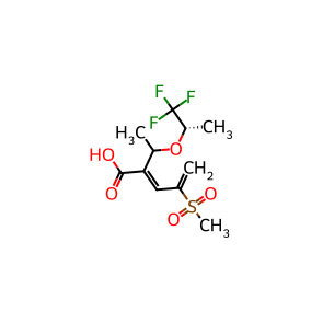 C=C(/C=C(/C(=O)O)C(C)O[C@@H](C)C(F)(F)F)S(C)(=O)=O